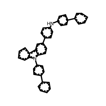 c1ccc(-c2ccc(Nc3ccc(-c4ccc5c(c4)c4ccccc4n5-c4ccc(-c5ccccc5)cc4)cc3)cc2)cc1